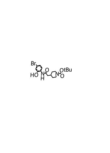 CC(C)(C)OC(=O)N1CCC(CC(=O)Nc2ccc(Br)cc2O)CC1